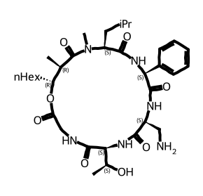 CCCCCC[C@H]1OC(=O)CNC(=O)[C@H]([C@H](C)O)NC(=O)[C@H](CN)NC(=O)[C@H](c2ccccc2)NC(=O)[C@H](CC(C)C)N(C)C(=O)[C@@H]1C